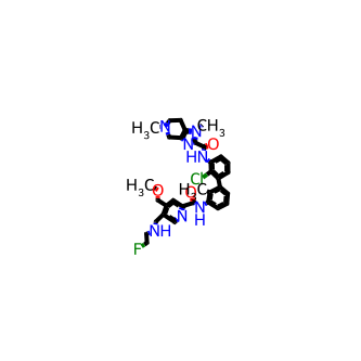 COCc1cc(C(=O)Nc2cccc(-c3cccc(NC(=O)c4nc5c(n4C)CCN(C)C5)c3Cl)c2C)ncc1CNCCF